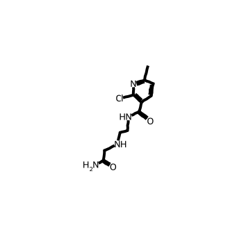 Cc1ccc(C(=O)NCCNCC(N)=O)c(Cl)n1